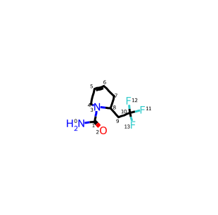 NC(=O)N1CC=CCC1CC(F)(F)F